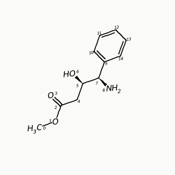 COC(=O)C[C@@H](O)[C@H](N)c1ccccc1